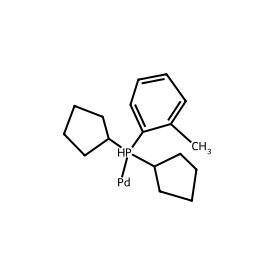 Cc1ccccc1[PH]([Pd])(C1CCCC1)C1CCCC1